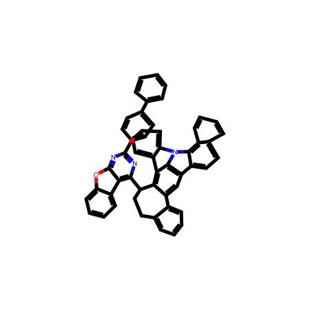 c1ccc(-c2ccc(-c3nc(C4CCc5ccccc5-c5cc6c7ccc8ccccc8c7n7c8ccccc8c(c54)c67)c4c(n3)oc3ccccc34)cc2)cc1